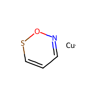 C1=CSON=C1.[Cu]